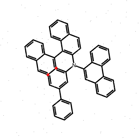 c1ccc(-c2cccc(N(c3ccc4ccccc4c3-c3cccc4ccccc34)c3cc4ccccc4c4ccccc34)c2)cc1